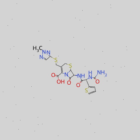 Cn1ncc(SCC2=C(C(=O)O)N3C(=O)[C@H](NC(=O)C(NC(N)=O)c4cccs4)C3SC2)n1